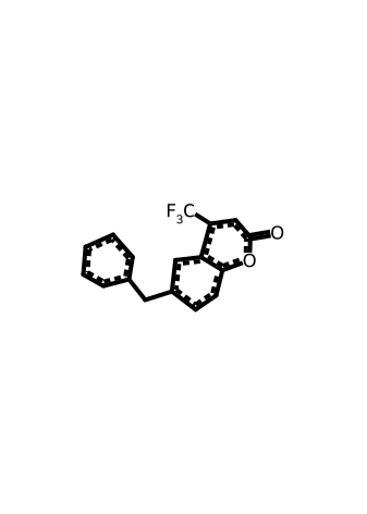 O=c1cc(C(F)(F)F)c2cc(Cc3ccccc3)ccc2o1